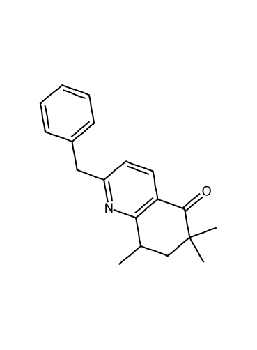 CC1CC(C)(C)C(=O)c2ccc(Cc3ccccc3)nc21